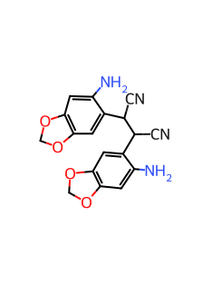 N#CC(c1cc2c(cc1N)OCO2)C(C#N)c1cc2c(cc1N)OCO2